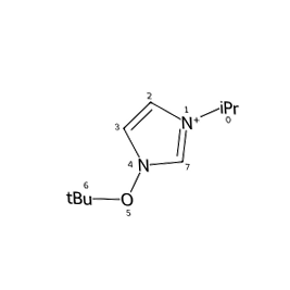 CC(C)[n+]1ccn(OC(C)(C)C)c1